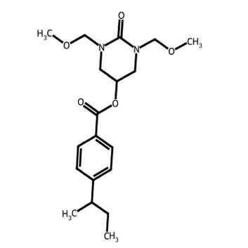 CCC(C)c1ccc(C(=O)OC2CN(COC)C(=O)N(COC)C2)cc1